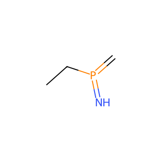 C=P(=N)CC